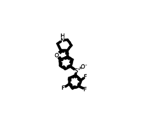 [O-][S+](c1ccc2oc3c(c2c1)CCNC3)c1cc(F)cc(F)c1F